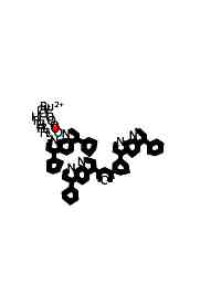 O.O.O.O.O.[Cl-].[Cl-].[Ru+2].c1ccc(-c2ccnc3c2ccc2c(-c4ccccc4)ccnc23)cc1.c1ccc(-c2ccnc3c2ccc2c(-c4ccccc4)ccnc23)cc1.c1ccc(-c2ccnc3c2ccc2c(-c4ccccc4)ccnc23)cc1